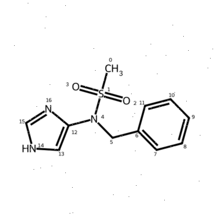 CS(=O)(=O)N(Cc1ccccc1)c1c[nH]cn1